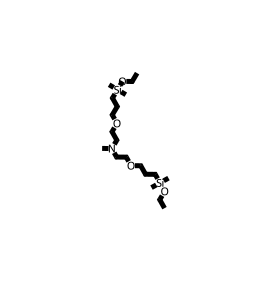 CCO[Si](C)(C)CCCOCCN(C)CCOCCC[Si](C)(C)OCC